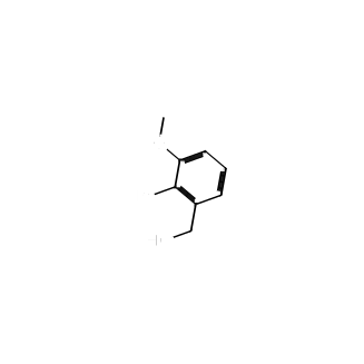 COc1cccc(CO)c1Br